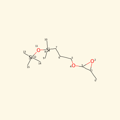 CC1OC1OCCC[Si](C)(C)O[Si](C)(C)C